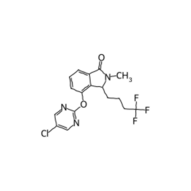 CN1C(=O)c2cccc(Oc3ncc(Cl)cn3)c2C1CCCC(F)(F)F